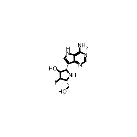 Nc1ncnc2c([C@@H]3N[C@H](CO)C(I)C3O)c[nH]c12